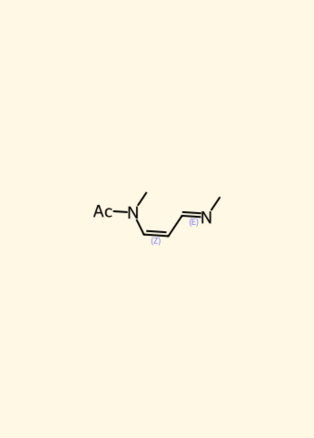 C/N=C/C=C\N(C)C(C)=O